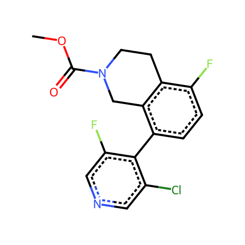 COC(=O)N1CCc2c(F)ccc(-c3c(F)cncc3Cl)c2C1